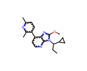 CCC(C1CC1)n1c(OC)nc2c(-c3ccc(C)nc3C)ccnc21